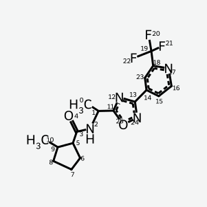 CC(NC(=O)C1CCCC1C)c1nc(-c2ccnc(C(F)(F)F)c2)no1